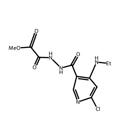 CCNc1cc(Cl)ncc1C(=O)NNC(=O)C(=O)OC